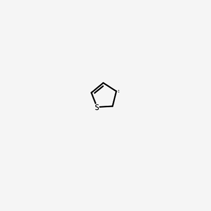 [C]1C=CSC1